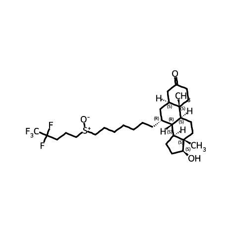 C[C@]12CCC(=O)C[C@@H]1C[C@@H](CCCCCCC[S+]([O-])CCCC(F)(F)C(F)(F)F)[C@@H]1[C@@H]2CC[C@]2(C)[C@@H](O)CC[C@@H]12